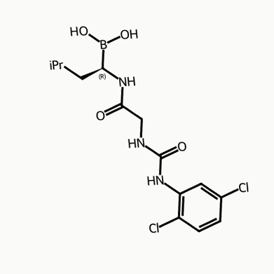 CC(C)C[C@H](NC(=O)CNC(=O)Nc1cc(Cl)ccc1Cl)B(O)O